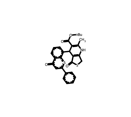 CCCCOC(=O)C1=C(C)NC2=C(C(=O)SC2)C1c1cccc2c(=O)cc(-c3ccccc3)sc12